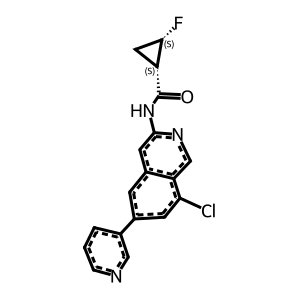 O=C(Nc1cc2cc(-c3cccnc3)cc(Cl)c2cn1)[C@@H]1C[C@@H]1F